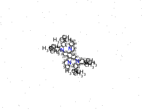 C[Si](C)(C)c1ccc2c(c1)c1cc([Si](C)(C)C)ccc1n2-c1ccc2c(-c3ccc4ccccc4n3)c3cc(-n4c5ccc([Si](C)(C)C)cc5c5cc([Si](C)(C)C)ccc54)ccc3c(-c3ccc4ccccc4n3)c2c1